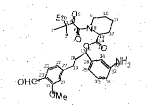 CCC(C)(C)C(=O)C(=O)N1CCCC[C@H]1C(=O)O[C@H](CCc1ccc(C=O)c(OC)c1)c1cccc(N)c1